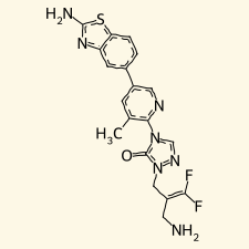 Cc1cc(-c2ccc3sc(N)nc3c2)cnc1-n1cnn(CC(CN)=C(F)F)c1=O